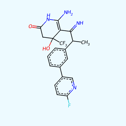 CC(C(=N)C1=C(N)NC(=O)CC1(O)C(F)(F)F)c1cccc(-c2ccc(F)nc2)c1